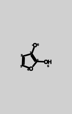 [O]c1ccoc1O